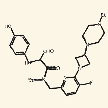 CCN1CCN(C2CN(c3nc(CN(CC)C(=O)C(C=O)Nc4ccc(O)cc4)ccc3F)C2)CC1